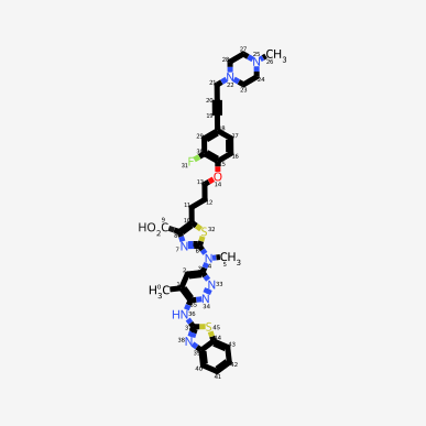 Cc1cc(N(C)c2nc(C(=O)O)c(CCCOc3ccc(C#CCN4CCN(C)CC4)cc3F)s2)nnc1Nc1nc2ccccc2s1